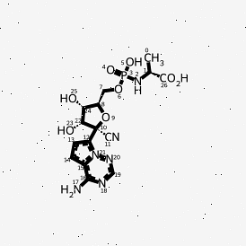 C[C@H](NP(=O)(O)OC[C@H]1O[C@@](C#N)(c2ccc3c(N)ncnn23)[C@H](O)[C@@H]1O)C(=O)O